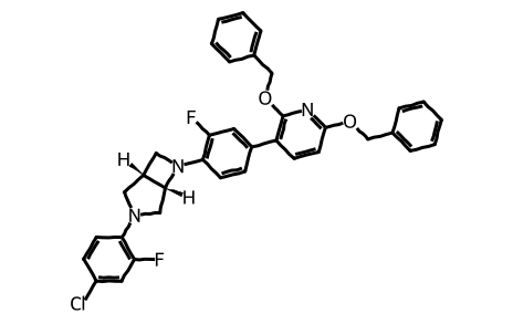 Fc1cc(Cl)ccc1N1C[C@@H]2CN(c3ccc(-c4ccc(OCc5ccccc5)nc4OCc4ccccc4)cc3F)[C@@H]2C1